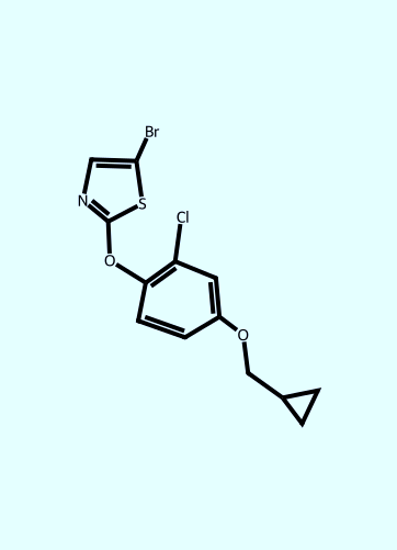 Clc1cc(OCC2CC2)ccc1Oc1ncc(Br)s1